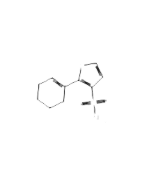 NS(=O)(=O)c1ccsc1C1=CCCCC1